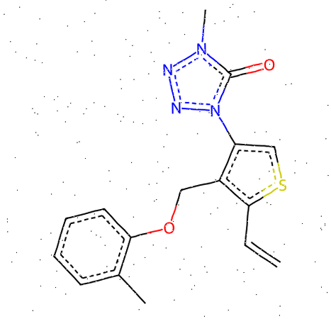 C=Cc1scc(-n2nnn(C)c2=O)c1COc1ccccc1C